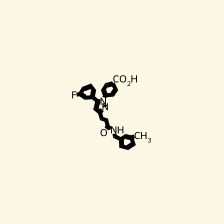 Cc1cccc(CNC(=O)CCc2cc(-c3cccc(F)c3)n(-c3ccc(C(=O)O)cc3)n2)c1